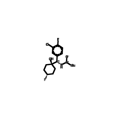 CC(C)(C)[S+]([O-])N[C@@H](c1ccc(F)c(Cl)c1)[C@]1(O)CC[C@H](F)CC1